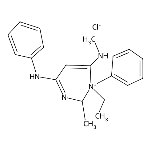 CC[N+]1(c2ccccc2)C(NC)=CC(Nc2ccccc2)=NC1C.[Cl-]